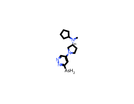 CN(C1CCCC1)[C@@H]1CCN(c2cnnc([AsH2])c2)C1